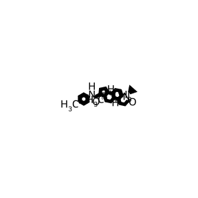 Cc1ccc(NC(=O)C2CC[C@H]3[C@@H]4CC=C5N(C6CC6)C(=O)CC[C@]5(C)[C@@H]4CC[C@]23C)cc1